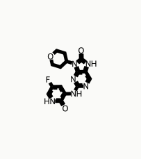 O=c1[nH]cc(F)cc1Nc1ncc2[nH]c(=O)n(C3CCOCC3)c2n1